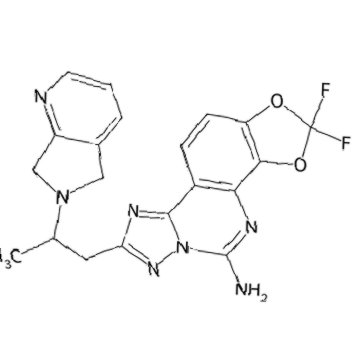 CC(Cc1nc2c3ccc4c(c3nc(N)n2n1)OC(F)(F)O4)N1Cc2cccnc2C1